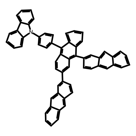 c1ccc2cc3cc(-c4ccc5c(-c6ccc(-n7c8ccccc8c8ccccc87)cc6)c6ccccc6c(-c6ccc7cc8ccccc8cc7c6)c5c4)ccc3cc2c1